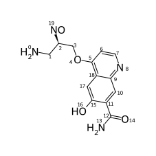 NC[C@H](COc1ccnc2cc(C(N)=O)c(O)cc12)N=O